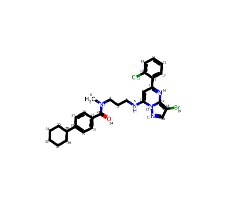 CN(CCCNc1cc(-c2ccccc2Cl)nc2c(Br)cnn12)C(=O)c1ccc(C2CCCCC2)cc1